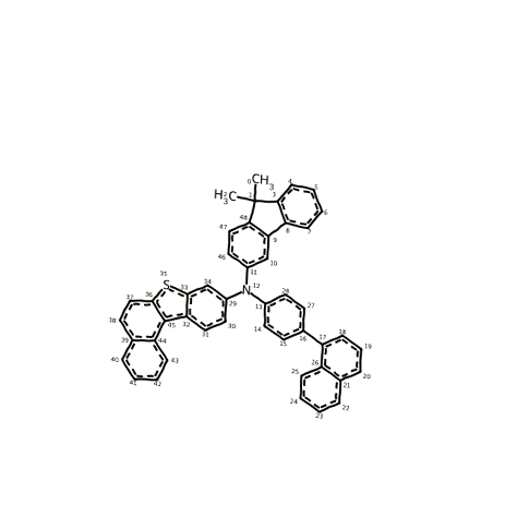 CC1(C)c2ccccc2-c2cc(N(c3ccc(-c4cccc5ccccc45)cc3)c3ccc4c(c3)sc3ccc5ccccc5c34)ccc21